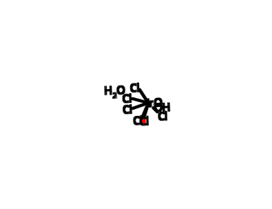 O.[O]=[Ir]([OH])([Cl])([Cl])([Cl])([Cl])([Cl])[Cl]